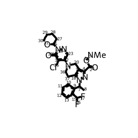 CNOC(=O)c1nn(C(C)c2ccccc2C(F)F)c2c1CN(c1cnn(C3CCCCO3)c(=O)c1Cl)CC2